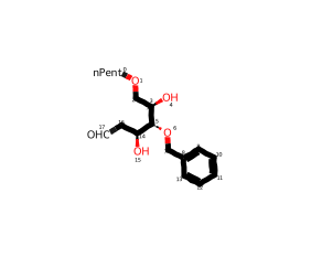 CCCCCOC[C@@H](O)[C@H](OCc1ccccc1)[C@@H](O)CC=O